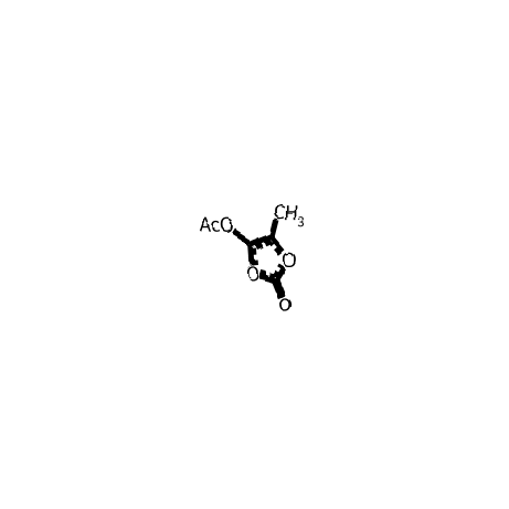 CC(=O)Oc1oc(=O)oc1C